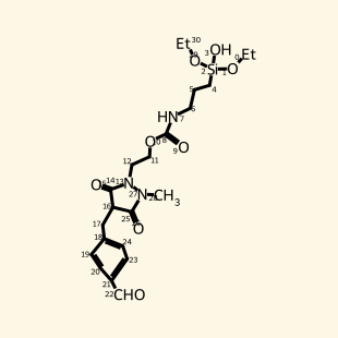 CCO[Si](O)(CCCNC(=O)OCCN1C(=O)C(Cc2ccc(C=O)cc2)C(=O)N1C)OCC